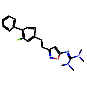 CN(C)C(=Nc1cc(CCc2ccc(-c3ccccc3)c(F)c2)no1)N(C)C